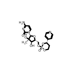 C[C@@]1(O)[C@H](O)[C@@H](COP2(=O)OCC[C@@H](c3ccncc3)O2)O[C@H]1n1ccc(N)nc1=O